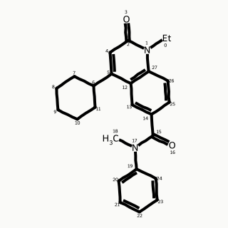 CCn1c(=O)cc(C2CCCCC2)c2cc(C(=O)N(C)c3ccccc3)ccc21